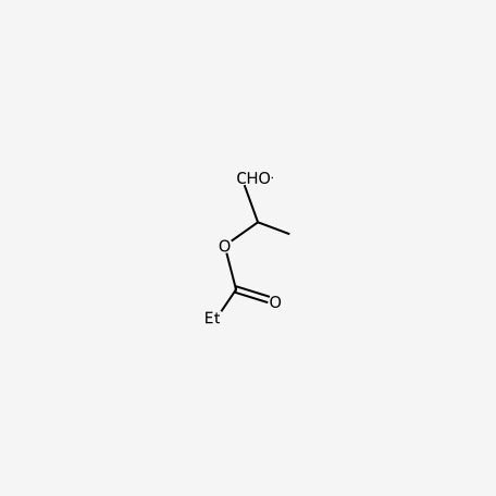 CCC(=O)OC(C)[C]=O